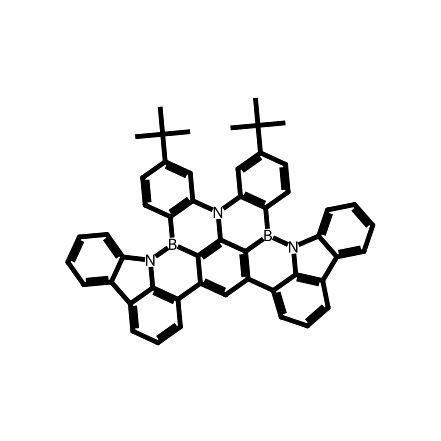 CC(C)(C)c1ccc2c(c1)N1c3cc(C(C)(C)C)ccc3B3c4c(cc5c(c41)B2n1c2ccccc2c2cccc-5c21)-c1cccc2c4ccccc4n3c12